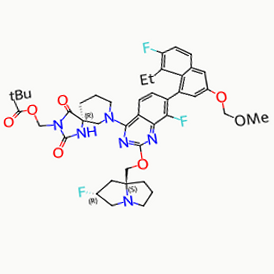 CCc1c(F)ccc2cc(OCOC)cc(-c3ccc4c(N5CCC[C@]6(C5)NC(=O)N(COC(=O)C(C)(C)C)C6=O)nc(OC[C@@]56CCCN5C[C@H](F)C6)nc4c3F)c12